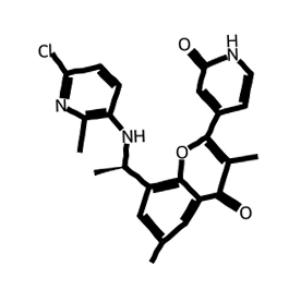 Cc1cc([C@@H](C)Nc2ccc(Cl)nc2C)c2oc(-c3cc[nH]c(=O)c3)c(C)c(=O)c2c1